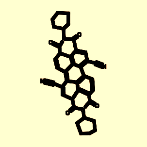 N#CC1=CC2C(=O)N(C3CCCCC3)C(=O)c3ccc4c(c1c1c5c6c(cc(C#N)c54)C(=O)N(C4CCCCC4)C(=O)C6C=C1)c32